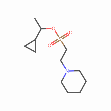 CC(OS(=O)(=O)CCN1CCCCC1)C1CC1